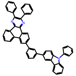 c1ccc(-c2nc3c4ccccc4c4cc(-c5cccc(-c6ccc7c(c6)c6ccccc6n7-c6ccccc6)c5)ccc4c3nc2-c2ccccc2)cc1